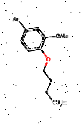 CCOC(=O)CCCOc1ccc(C(C)=O)cc1OC